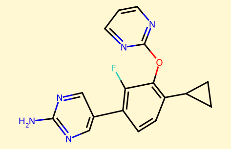 Nc1ncc(-c2ccc(C3CC3)c(Oc3ncccn3)c2F)cn1